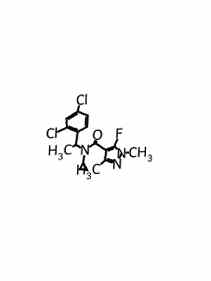 Cc1nn(C)c(F)c1C(=O)N(C1CC1)C(C)c1ccc(Cl)cc1Cl